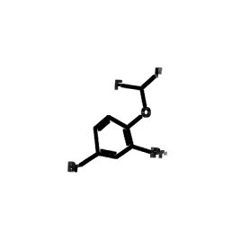 C[C](C)c1cc(Br)ccc1OC(F)F